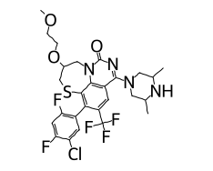 COCCOC1CSc2c(-c3cc(Cl)c(F)cc3F)c(C(F)(F)F)cc3c(N4CC(C)NC(C)C4)nc(=O)n(c23)C1